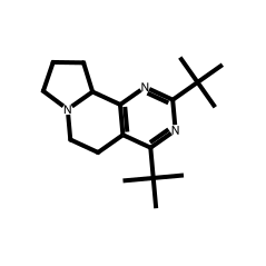 CC(C)(C)c1nc2c(c(C(C)(C)C)n1)CCN1CCCC21